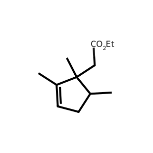 CCOC(=O)CC1(C)C(C)=CCC1C